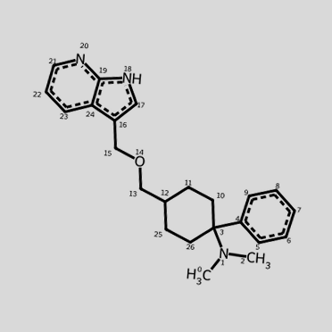 CN(C)C1(c2ccccc2)CCC(COCc2c[nH]c3ncccc23)CC1